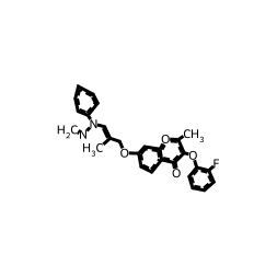 C=NN(/C=C(\C)COc1ccc2c(=O)c(Oc3ccccc3F)c(C)oc2c1)c1ccccc1